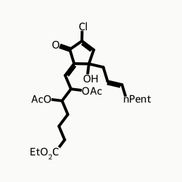 CCCCCC=CCC1(O)C=C(Cl)C(=O)C1=CC(OC(C)=O)C(CCCC(=O)OCC)OC(C)=O